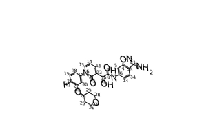 Nc1noc2cc(NC(=O)C(O)c3cccn(-c4ccc(F)c(OC5CCOCC5)c4)c3=O)ccc12